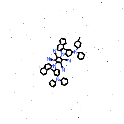 CC1C=CC(N(c2ccccc2)c2ccc3c(c2)c2c4ccccc4ccc2n3-c2c(C#N)c(C#N)c(-n3c4ccc(N(c5ccccc5)c5ccccc5)cc4c4c5c(ccc43)[C@@H](C)CC=C5)c(C#N)c2C#N)=CC1